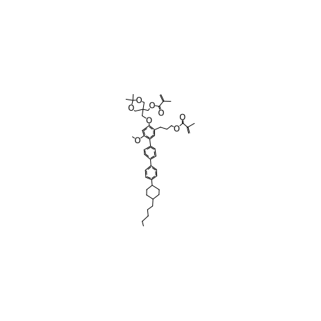 C=C(C)C(=O)OCCCc1cc(-c2ccc(-c3ccc(C4CCC(CCCCC)CC4)cc3)cc2)c(OC)cc1OCC1(COC(=O)C(=C)C)COC(C)(C)OC1